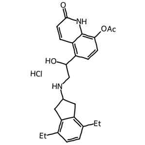 CCc1ccc(CC)c2c1CC(NCC(O)c1ccc(OC(C)=O)c3[nH]c(=O)ccc13)C2.Cl